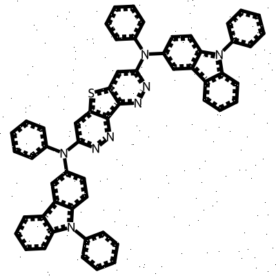 c1ccc(N(c2ccc3c(c2)c2ccccc2n3-c2ccccc2)c2cc3sc4cc(N(c5ccccc5)c5ccc6c(c5)c5ccccc5n6-c5ccccc5)nnc4c3nn2)cc1